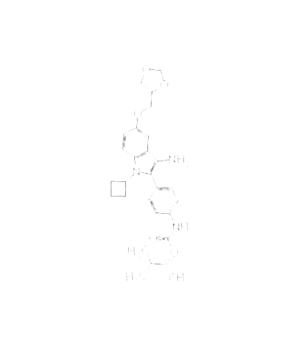 CC(C)[C@@H](C)OC(=O)Nc1ccc(-c2c(N)c3cc(OCC4COCO4)ccc3n2C2CCC2)cc1